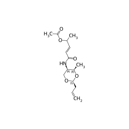 C=CC[C@H]1OC[C@@H](NC(=O)C=CC(C)OC(C)=O)[C@@H](C)O1